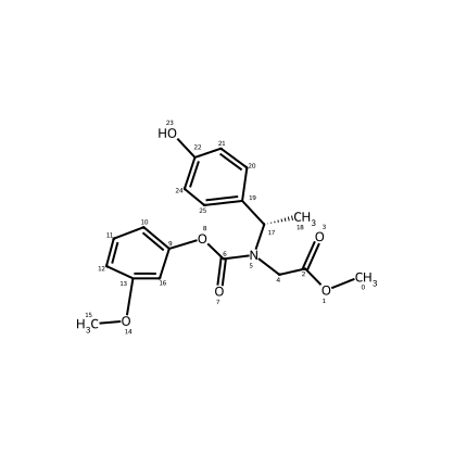 COC(=O)CN(C(=O)Oc1cccc(OC)c1)[C@@H](C)c1ccc(O)cc1